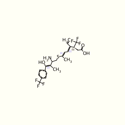 C=C/C(=C\C=C(/C)SCC(N)/C(C)=C(\O)c1ccc(C(F)(F)F)cc1)[C@H](CC(=O)O)C(F)(F)F